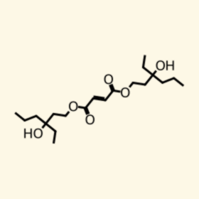 CCCC(O)(CC)CCOC(=O)/C=C/C(=O)OCCC(O)(CC)CCC